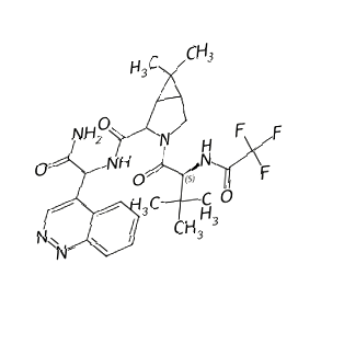 CC1(C)C2CN(C(=O)[C@@H](NC(=O)C(F)(F)F)C(C)(C)C)C(C(=O)NC(C(N)=O)c3cnnc4ccccc34)C21